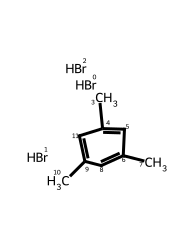 Br.Br.Br.Cc1cc(C)cc(C)c1